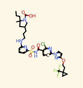 CCCC1(C)CC(CCCNc2cccc(S(=O)(=O)NC(=O)c3ccc(-n4ccc(OCCC5(C(F)(F)F)CC5)n4)nc3Cl)n2)CN1C(=O)O